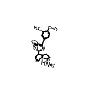 CCN[C@H]1CCc2c(-c3noc(-c4ccc(OC(C)C)c(C#N)c4)n3)cccc21